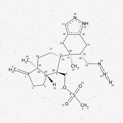 C=C1CC[C@H]2[C@H](COS(C)(=O)=O)[C@@H]([C@@]3(C)Cc4cn[nH]c4C[C@@H]3CN=[N+]=[N-])CC[C@]12C